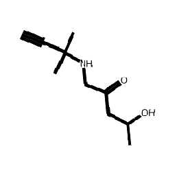 C#CC(C)(C)NCC(=O)CC(C)O